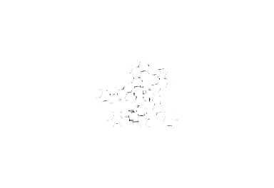 c1ccc(-c2ccc(N3c4cc5ccc6ccccc6c5cc4B4c5cc6c(ccc7ccccc76)cc5N(c5ccc(-c6ccccc6)cc5)c5cc(-c6nc(-c7ccccc7)nc7ccccc67)cc3c54)cc2)cc1